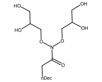 CCCCCCCCCCCC(=O)N(OCC(O)CO)OCC(O)CO